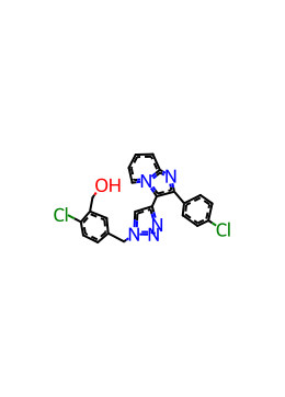 OCc1cc(Cn2cc(-c3c(-c4ccc(Cl)cc4)nc4ccccn34)nn2)ccc1Cl